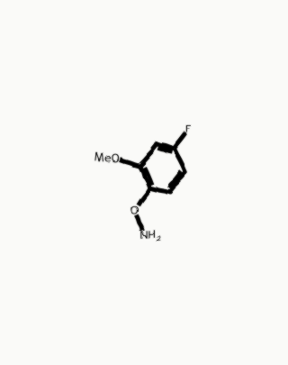 COc1cc(F)ccc1ON